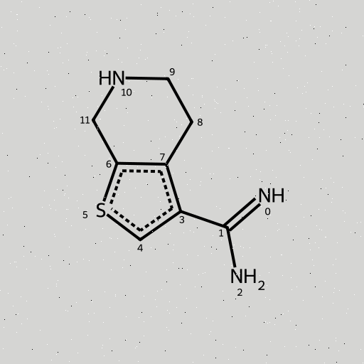 N=C(N)c1csc2c1CCNC2